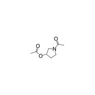 CC(=O)OC1CCN(C(C)=O)C1